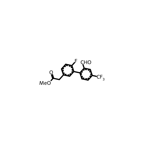 COC(=O)Cc1ccc(F)c(-c2ccc(C(F)(F)F)cc2C=O)c1